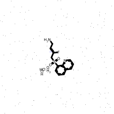 Cl.Cl.NC/C=C(\F)CS(=O)(=O)c1cccc2cccnc12.O